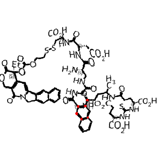 CC[C@@]1(OC(=O)OCCSSC[C@H](NC(=O)[C@H](CC(=O)O)NC(=O)[C@@H](N)CNC(=O)[C@H](Cc2ccccc2)NC(=O)[C@H](Cc2ccccc2)NC(=O)CCC(C)NC(=O)CC[C@H](NC(=S)N[C@@H](CCC(=O)O)C(=O)O)C(=O)O)C(=O)O)C(=O)OCc2c1cc1n(c2=O)Cc2cc3ccccc3cc2-1